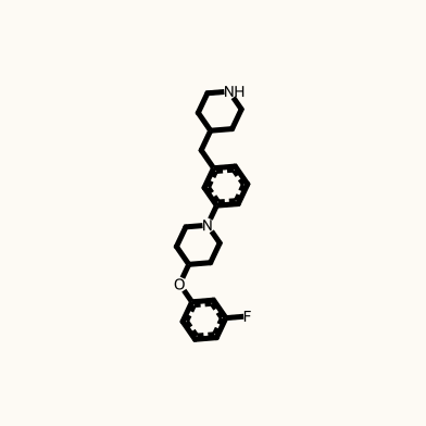 Fc1cccc(OC2CCN(c3cccc(CC4CCNCC4)c3)CC2)c1